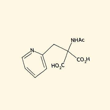 CC(=O)NC(Cc1ccccn1)(C(=O)O)C(=O)O